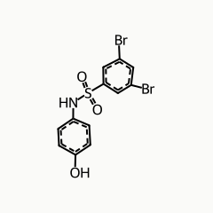 O=S(=O)(Nc1ccc(O)cc1)c1cc(Br)cc(Br)c1